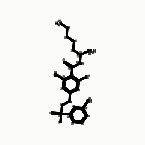 CP(=O)(CCc1cc(Cl)c(C(=O)N[C@@H](CCCCN)C(=O)O)c(Cl)c1)c1cccc(O)c1